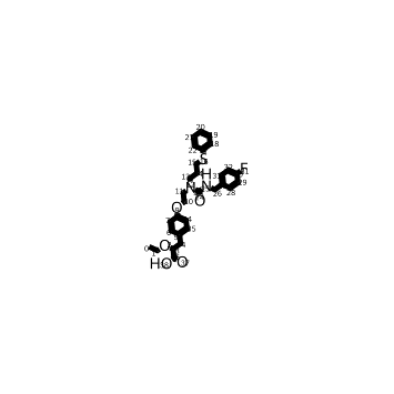 CCOC(Cc1ccc(OCCN(CCCSc2ccccc2)C(=O)NCc2ccc(F)cc2)cc1)C(=O)O